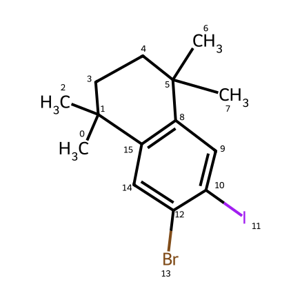 CC1(C)CCC(C)(C)c2cc(I)c(Br)cc21